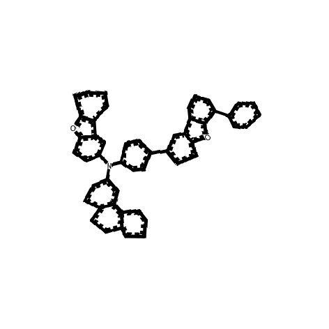 c1ccc(-c2cccc3c2oc2ccc(-c4ccc(N(c5ccc6ccc7ccccc7c6c5)c5ccc6oc7ccccc7c6c5)cc4)cc23)cc1